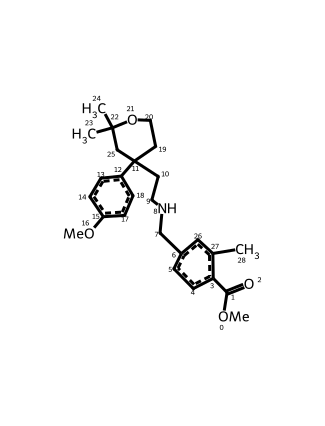 COC(=O)c1ccc(CNCCC2(c3ccc(OC)cc3)CCOC(C)(C)C2)cc1C